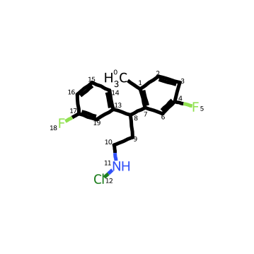 Cc1ccc(F)cc1C(CCNCl)c1cccc(F)c1